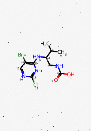 CC(C)C(CNC(=O)O)Nc1nc(Cl)ncc1Br